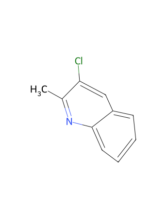 Cc1nc2ccccc2cc1Cl